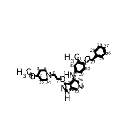 COC1CCN(CCOc2n[nH]c3cncc(Nc4ccc(OCc5ccccc5)c(C)c4)c23)CC1